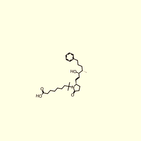 C[C@@H](CCCc1ccccc1)[C@H](O)/C=C/[C@H]1CCC(=O)N1C(C)(C)CCCCCCC(=O)O